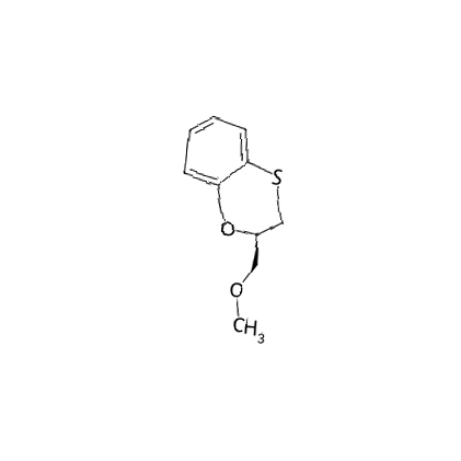 COC[C@@H]1CSc2ccccc2O1